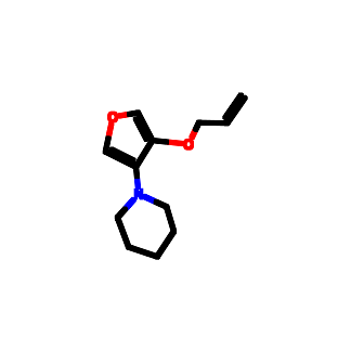 C=CCOc1cocc1N1CCCCC1